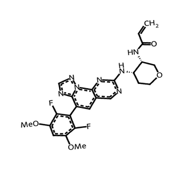 C=CC(=O)N[C@@H]1COCC[C@@H]1Nc1ncc2cc(-c3c(F)c(OC)cc(OC)c3F)c3ncnn3c2n1